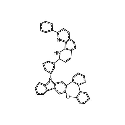 C1=CC(c2cccc(-n3c4ccccc4c4cc5c(cc43)-c3ccccc3-c3ccccc3O5)c2)Nc2c1ccc1ccc(-c3ccccc3)nc21